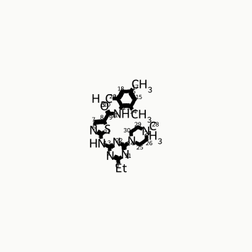 CCc1nc(Nc2ncc(C(=O)Nc3c(C)cc(C)cc3C)s2)nc(N2CCN(C)CC2)n1